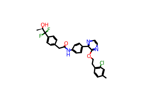 Cc1ccc(CCOc2nccnc2-c2ccc(NC(=O)Cc3ccc(C(F)(F)[C@@H](C)O)cc3)cc2)c(Cl)c1